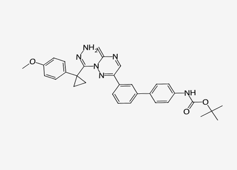 C=C1N=CC(c2cccc(-c3ccc(NC(=O)OC(C)(C)C)cc3)c2)=NN1/C(=N\N)C1(c2ccc(OC)cc2)CC1